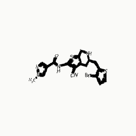 Cn1cc(C(=O)Nc2sc3c(c2C#N)CC(Cc2sccc2Br)NC3)cn1